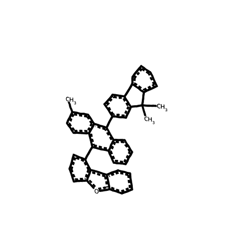 Cc1ccc2c(-c3cccc4oc5ccccc5c34)c3ccccc3c(-c3ccc4c(c3)C(C)(C)c3ccccc3-4)c2c1